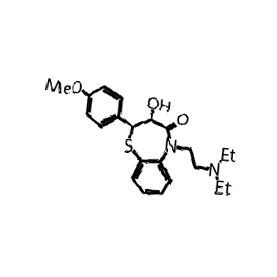 CCN(CC)CCN1C(=O)[C@H](O)[C@H](c2ccc(OC)cc2)Sc2ccccc21